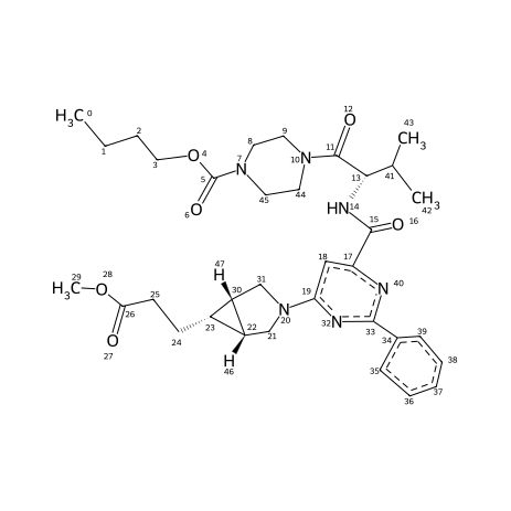 CCCCOC(=O)N1CCN(C(=O)[C@@H](NC(=O)c2cc(N3C[C@@H]4[C@H](CCC(=O)OC)[C@@H]4C3)nc(-c3ccccc3)n2)C(C)C)CC1